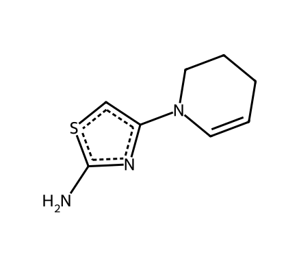 Nc1nc(N2C=CCCC2)cs1